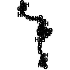 COc1cc(C(=O)N2CCC(N3CCN(CCOCCCNc4ccc5c(c4)C(=O)N(C4CCC(=O)NC4=O)C5=O)CC3)CC2)c(F)cc1Nc1ncc2c(n1)N(C1CCC(CN3C(=O)C(F)(F)CN(C4CCCC4)c4nc(Nc5cc(F)c(C(=O)N[C@H]6CC[C@H](N7CCN(CCOCCNc8ccc9c(c8)C(=O)N(C8CCC(=O)NC8=O)C9=O)CC7)CC6)cc5OC)ncc43)C1)CC(F)(F)C(=O)N2C